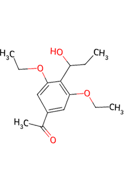 CCOc1cc(C(C)=O)cc(OCC)c1C(O)CC